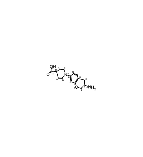 NC1COc2cc(N3CCC(C(=O)O)CC3)ccc2C1